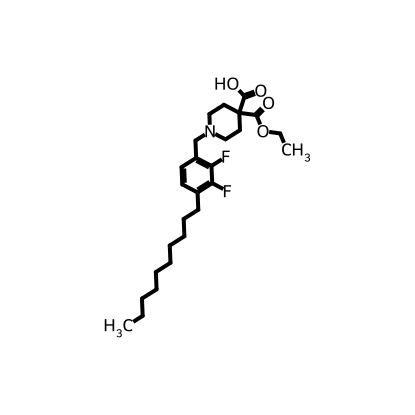 CCCCCCCCCCc1ccc(CN2CCC(C(=O)O)(C(=O)OCC)CC2)c(F)c1F